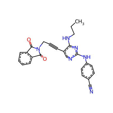 CCCNc1nc(Nc2ccc(C#N)cc2)ncc1C#CCN1C(=O)c2ccccc2C1=O